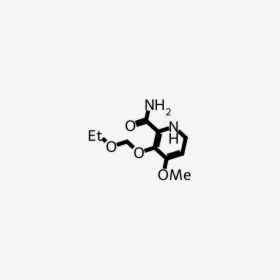 CCOCOC1=C(C(N)=O)NCC=C1OC